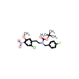 COc1cc(CCN(Cc2ccc(F)cc2)C(=O)OC(C)(C)C)c(Cl)cc1[N+](=O)[O-]